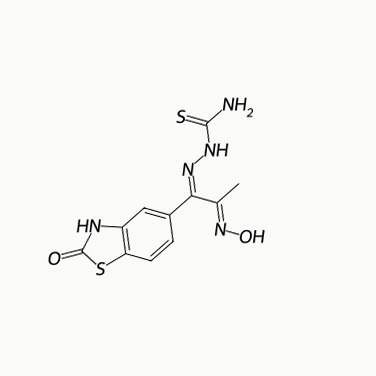 CC(=NO)C(=NNC(N)=S)c1ccc2sc(=O)[nH]c2c1